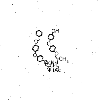 CC(=O)N[C@@H](C)COc1ccc(Oc2ccc(O)cc2)cc1.CC(=O)N[C@@H](C)COc1ccc(Oc2ccc(OCc3ccccc3)cc2)cc1